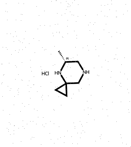 C[C@@H]1CNCC2(CC2)N1.Cl